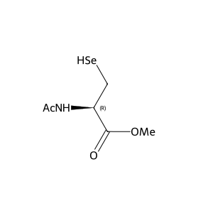 COC(=O)[C@H](C[SeH])NC(C)=O